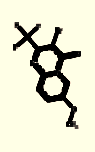 COc1ccc2nc(C(F)(F)F)c(Br)c(=O)n2c1